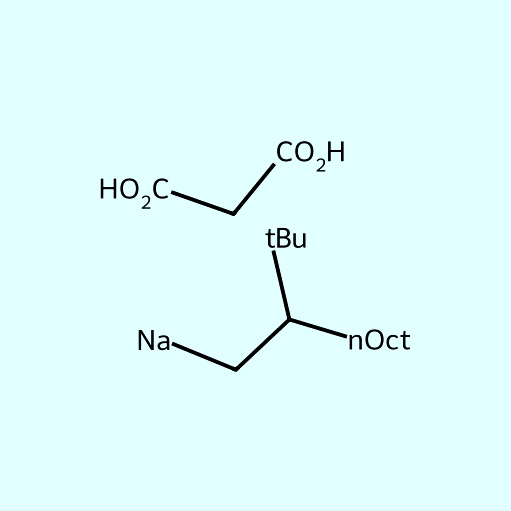 CCCCCCCCC([CH2][Na])C(C)(C)C.O=C(O)CC(=O)O